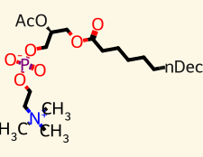 CCCCCCCCCCCCCCCC(=O)OC[C@@H](COP(=O)([O-])OCC[N+](C)(C)C)OC(C)=O